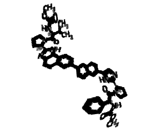 COC(=O)N[C@H](C(=O)N1CCC[C@H]1C1=NC2CCc3cc(-c4ccc5cc(-c6cnc([C@@H]7CCCN7C(=O)[C@H](NC(=O)OC)c7ccccc7)[nH]6)ccc5c4)ccc3C2N1)C(C)C